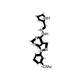 COc1cccc(-n2ncc3c(N/N=C/C4CCCN4)ncnc32)c1